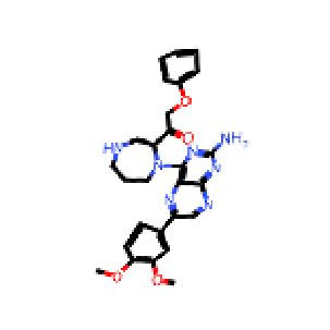 COc1ccc(-c2cnc3nc(N)nc(N4CCCNCC4C(=O)COc4ccccc4)c3n2)cc1OC